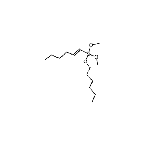 CCCCC=C[Si](OC)(OC)OCCCCCC